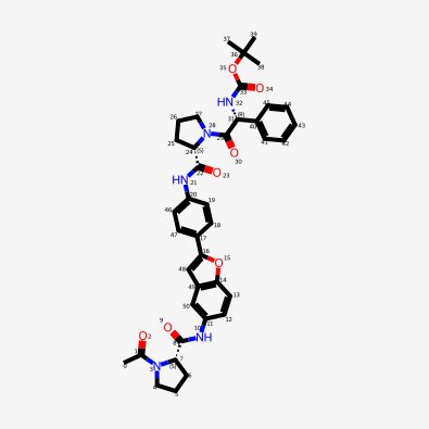 CC(=O)N1CCC[C@H]1C(=O)Nc1ccc2oc(-c3ccc(NC(=O)[C@@H]4CCCN4C(=O)[C@H](NC(=O)OC(C)(C)C)c4ccccc4)cc3)cc2c1